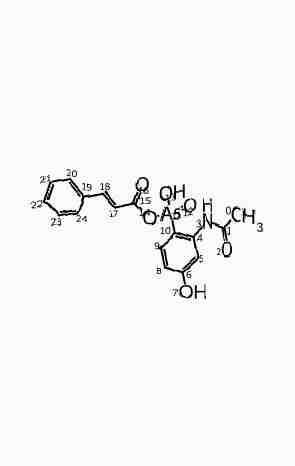 CC(=O)Nc1cc(O)ccc1[As](=O)(O)OC(=O)C=Cc1ccccc1